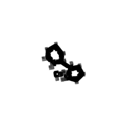 [Co+3].c1ccc(-n2cccn2)nc1